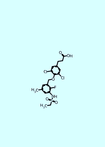 CCS(=O)(=O)Nc1cc(C)cc(COc2c(Cl)cc(CCC(=O)O)cc2Cl)c1F